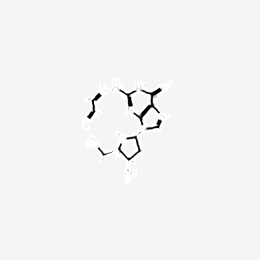 Nc1nc2c(ncn2[C@H]2C[C@H](O)[C@@H](CO)O2)c(=O)[nH]1.O=CC=O